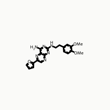 COc1ccc(CCNc2nc(N)c3nc(-c4ccco4)cnc3n2)cc1OC